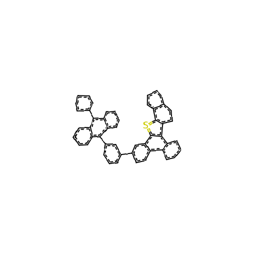 c1ccc(-c2c3ccccc3c(-c3cccc(-c4ccc5c6ccccc6c6c7ccc8ccccc8c7sc6c5c4)c3)c3ccccc23)cc1